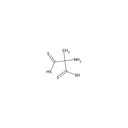 CC(N)(C(=S)S)C(=S)S